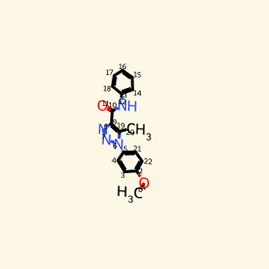 COc1ccc(-n2nnc(C(=O)Nc3ccccc3)c2C)cc1